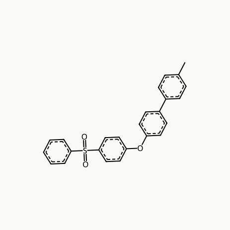 Cc1ccc(-c2ccc(Oc3ccc(S(=O)(=O)c4ccccc4)cc3)cc2)cc1